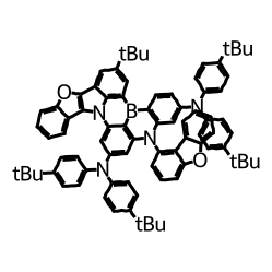 CC(C)(C)c1ccc(N(c2ccc(C(C)(C)C)cc2)c2ccc3c(c2)N(c2cccc4oc5ccccc5c24)c2cc(N(c4ccc(C(C)(C)C)cc4)c4ccc(C(C)(C)C)cc4)cc4c2B3c2cc(C(C)(C)C)cc3c5oc6ccccc6c5n-4c23)cc1